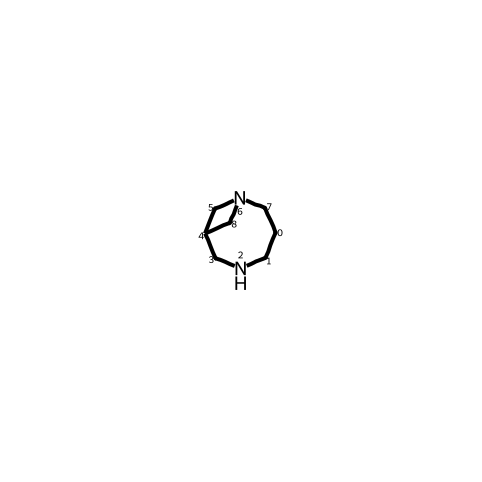 C1CNCC2CN(C1)C2